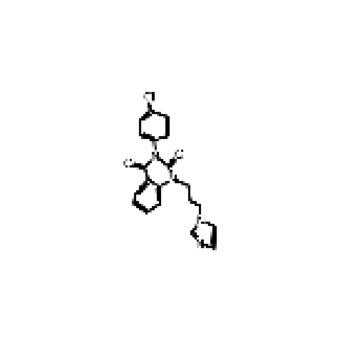 O=c1c2ccccc2n(CCCn2ccnc2)c(=O)n1-c1ccc(Cl)cc1